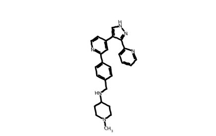 CN1CCC(NCc2ccc(-c3cc(-c4c[nH]nc4-c4ccccn4)ccn3)cc2)CC1